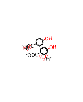 O.O.O=C([O-])c1ccc(O)cc1.O=C([O-])c1ccc(O)cc1.[H+].[K+]